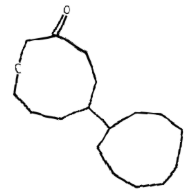 O=C1CCCCCC(C2CCCCCCCC2)CC1